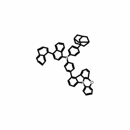 c1ccc2c(c1)Oc1cccc3c4c(-c5ccc(N(c6ccc(C78CC9CC(CC(C9)C7)C8)cc6)c6ccc(-c7cccc8ccccc78)c7ccccc67)cc5)cccc4n-2c13